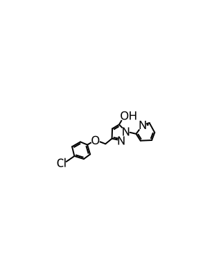 Oc1cc(COc2ccc(Cl)cc2)nn1-c1ccccn1